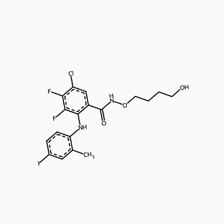 Cc1cc(I)ccc1Nc1c(C(=O)NOCCCCO)cc(Cl)c(F)c1F